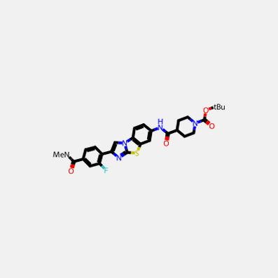 CNC(=O)c1ccc(-c2cn3c(n2)sc2cc(NC(=O)C4CCN(C(=O)OC(C)(C)C)CC4)ccc23)c(F)c1